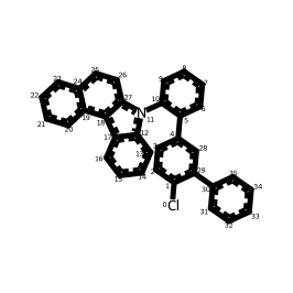 Clc1ccc(-c2ccccc2-n2c3ccccc3c3c4ccccc4ccc32)cc1-c1ccccc1